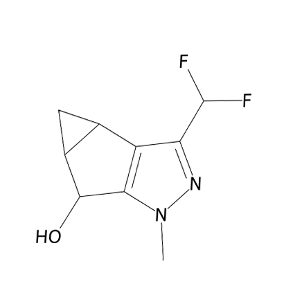 Cn1nc(C(F)F)c2c1C(O)C1CC21